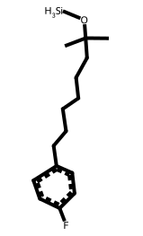 CC(C)(CCCCCCc1ccc(F)cc1)O[SiH3]